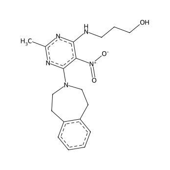 Cc1nc(NCCCO)c([N+](=O)[O-])c(N2CCc3ccccc3CC2)n1